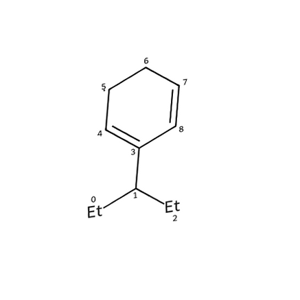 CCC(CC)C1=C[CH]CC=C1